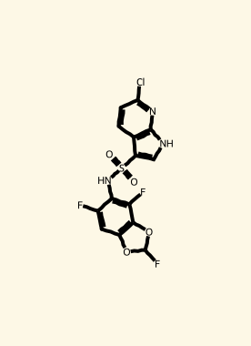 O=S(=O)(Nc1c(F)cc2c(c1F)OC(F)O2)c1c[nH]c2nc(Cl)ccc12